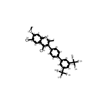 COc1cc2nc(C)c(-c3ccc(-c4cc(C(F)(F)F)cc(C(F)(F)F)c4)cc3)c(Cl)c2cc1Cl